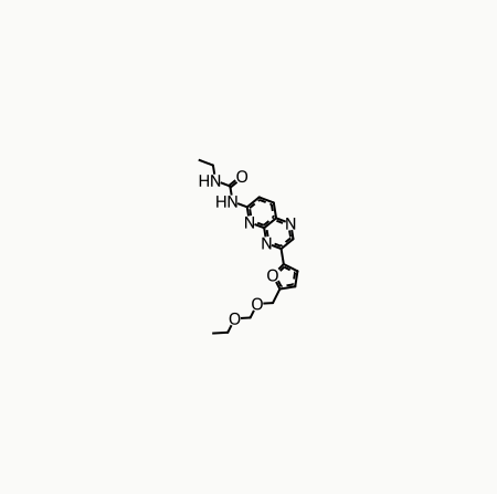 CCNC(=O)Nc1ccc2ncc(-c3ccc(COCOCC)o3)nc2n1